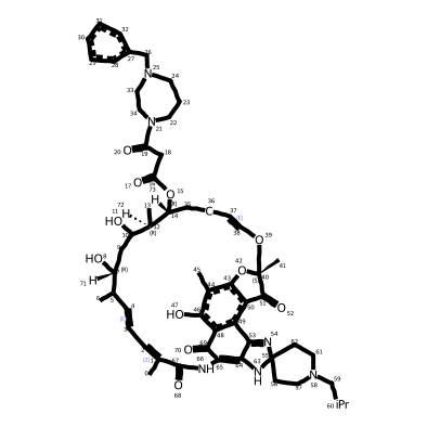 C/C1=C/C=C/C(C)[C@H](O)CC(O)[C@@H](C)[C@H](OC(=O)CC(=O)N2CCCN(Cc3ccccc3)CC2)CC/C=C/O[C@@]2(C)Oc3c(C)c(O)c4c(c3C2=O)C2=NC3(CCN(CC(C)C)CC3)NC2=C(NC1=O)C4=O